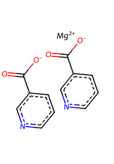 O=C([O-])c1cccnc1.O=C([O-])c1cccnc1.[Mg+2]